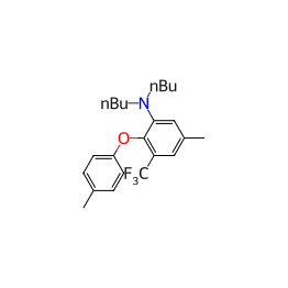 CCCCN(CCCC)c1cc(C)cc(C(F)(F)F)c1Oc1ccc(C)cc1